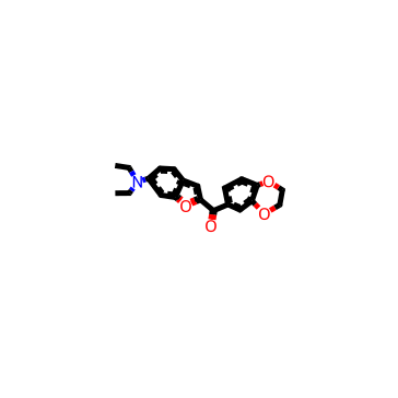 CCN(CC)c1ccc2cc(C(=O)c3ccc4c(c3)OCCO4)oc2c1